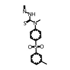 C=NNC(=S)N(C)c1ccc(S(=O)(=O)c2cccc(C)c2)cc1